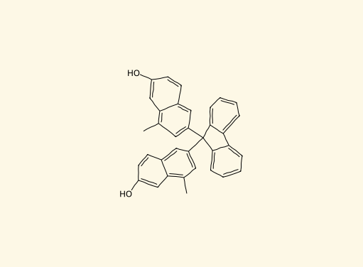 Cc1cc(C2(c3cc(C)c4cc(O)ccc4c3)c3ccccc3-c3ccccc32)cc2ccc(O)cc12